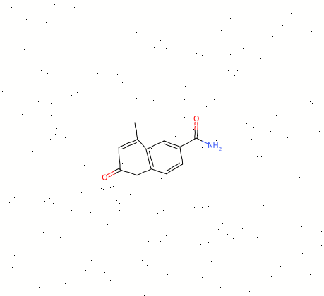 CC1=CC(=O)Cc2ccc(C(N)=O)cc21